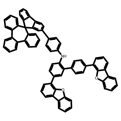 c1ccc2c(c1)-c1ccccc1C1(c3ccccc3-2)c2ccccc2-c2ccc(-c3ccc(Nc4ccc(-c5cccc6c5oc5ccccc56)cc4-c4ccc(-c5cccc6c5oc5ccccc56)cc4)cc3)cc21